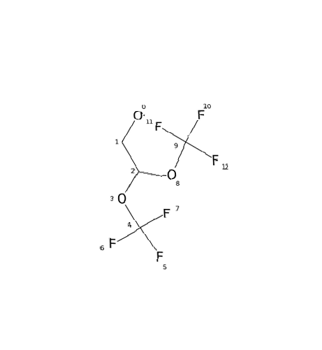 [O]CC(OC(F)(F)F)OC(F)(F)F